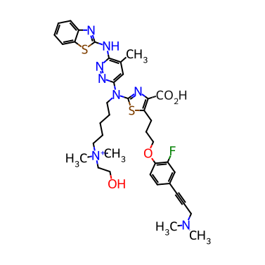 Cc1cc(N(CCCCC[N+](C)(C)CCO)c2nc(C(=O)O)c(CCCOc3ccc(C#CCN(C)C)cc3F)s2)nnc1Nc1nc2ccccc2s1